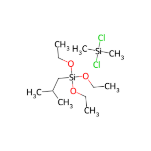 CCO[Si](CC(C)C)(OCC)OCC.C[Si](C)(Cl)Cl